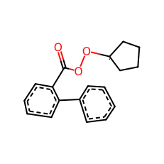 O=C(OO[C]1CCCC1)c1ccccc1-c1ccccc1